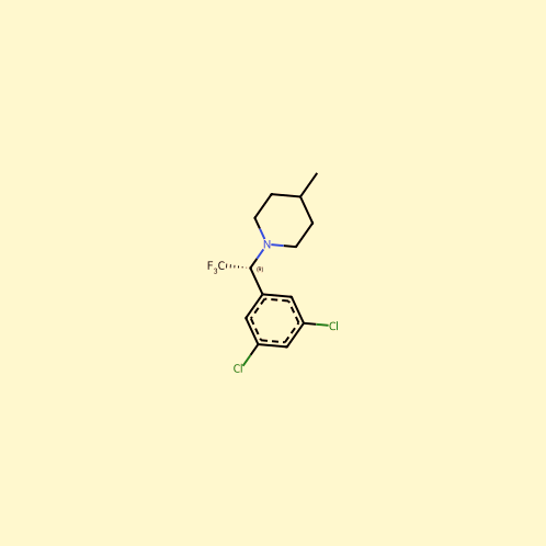 CC1CCN([C@H](c2cc(Cl)cc(Cl)c2)C(F)(F)F)CC1